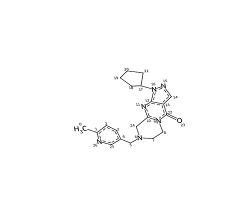 Cc1ccc(CN2CCn3c(nc4c(cnn4C4CCCC4)c3=O)C2)cn1